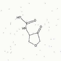 O=C(O)NC1COCC1=O